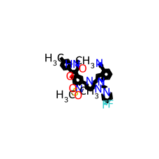 CNC(=O)c1c(-c2ccc(C)cc2)oc2cc(N(C)S(C)(=O)=O)c(-c3ccc4nc(CN5CCC(F)(F)CC5)n5c6cccc(C#N)c6cc5c4n3)cc12